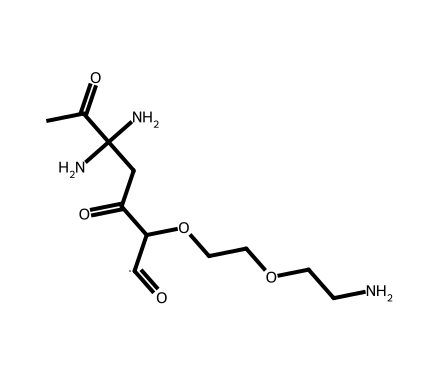 CC(=O)C(N)(N)CC(=O)C([C]=O)OCCOCCN